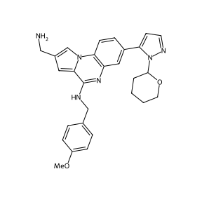 COc1ccc(CNc2nc3cc(-c4ccnn4C4CCCCO4)ccc3n3cc(CN)cc23)cc1